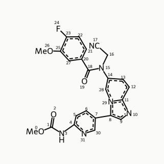 COC(=O)Nc1ccc(-c2cnc3ccc(N(CC#N)C(=O)c4ccc(F)c(OC)c4)cn23)cn1